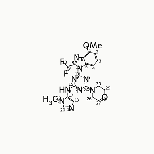 COc1cccc2c1nc(C(F)F)n2-c1nc(Nc2cncn2C)nc(N2CCOCC2)n1